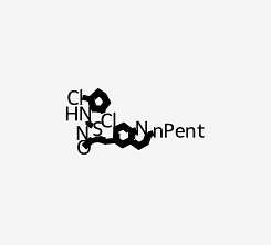 CCCCCc1ccc2cc(/C=C3\SC(Nc4c(Cl)cccc4Cl)=NC3=O)ccc2n1